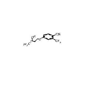 C[C@H](O)CCOc1ccc(C#N)c(C(F)(F)F)c1